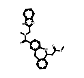 COC(=O)CC1Nc2ccc(C(=O)N(C)Cc3nc4ccccc4[nH]3)cc2Cc2ccccc21